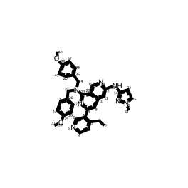 CCc1ccncc1-c1cc2cc(Nc3ccn(C)n3)ncc2c(N(Cc2ccc(OC)cc2)Cc2ccc(OC)cc2)n1